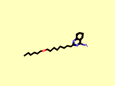 CCCCCCOCCCCCCCCc1nc(N)c2ccccc2n1